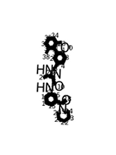 COc1ccc(-c2nc(C(=O)Nc3cccc(C(=O)N4CCCCC4)c3)c(C)[nH]2)cc1-c1c(C)cccc1C